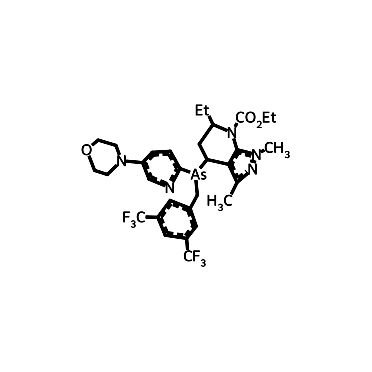 CCOC(=O)N1c2c(c(C)nn2C)C([As](Cc2cc(C(F)(F)F)cc(C(F)(F)F)c2)c2ccc(N3CCOCC3)cn2)CC1CC